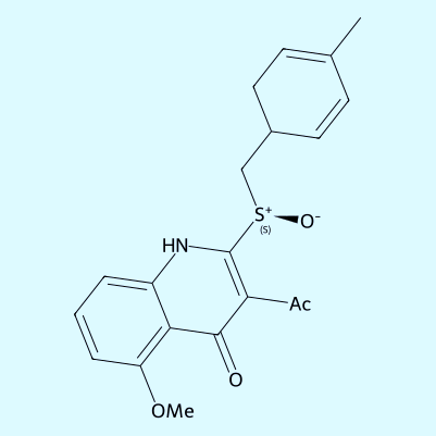 COc1cccc2[nH]c([S@+]([O-])CC3C=CC(C)=CC3)c(C(C)=O)c(=O)c12